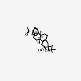 CC(=O)[C@@]12C=CC3(CC1)[C@@H]1CCC4=C(CC(O)(O)C5(C4)CC(C)(C)C5)[C@H]1CC[C@@]32C